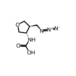 [N-]=[N+]=NC[C@@H]1COC[C@H]1NC(=O)O